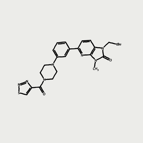 Cn1c(=O)n(CC(C)(C)C)c2ccc(-c3cccc(N4CCN(C(=O)c5csnn5)CC4)c3)nc21